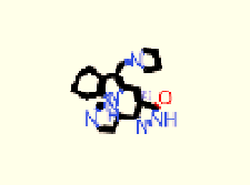 O=C1NN=C(c2ccncn2)/C1=C\c1[nH]c2c(c1CN1CCCC1)CCCC2